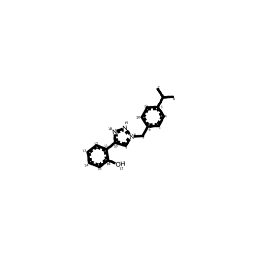 CC(C)c1ccc(Cn2cc(-c3ccccc3O)nn2)cc1